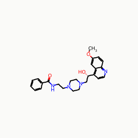 COc1ccc2nccc([C@@H](O)CN3CCN(CCNC(=O)c4ccccc4)CC3)c2c1